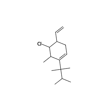 C=CC1CC=C(C(C)(C)C(C)C)C(C)C1Cl